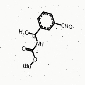 C[C@H](NC(=O)OC(C)(C)C)c1cccc(C=O)c1